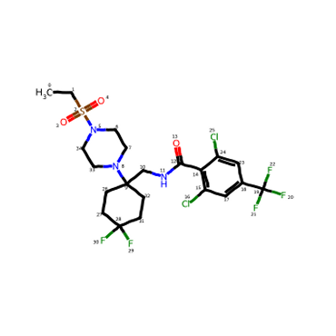 CCS(=O)(=O)N1CCN(C2(CNC(=O)c3c(Cl)cc(C(F)(F)F)cc3Cl)CCC(F)(F)CC2)CC1